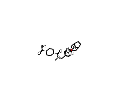 CC(C)C(=O)[C@H]1CC[C@H](C(=O)N(C)Cc2cnc(N3C4CCC3CN(C(C)C)C4)nc2)CC1